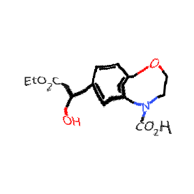 CCOC(=O)C(O)c1ccc2c(c1)N(C(=O)O)CCO2